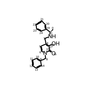 C[C@@H](NCc1ccn(Cc2ccccc2)c(=O)c1O)c1ccccc1